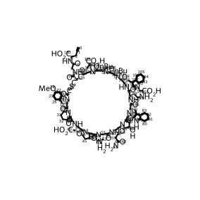 C#CC[C@H](NC(=O)CNC(=O)[C@@H]1CSCC(=O)N[C@@H](Cc2ccc(OC)cc2)C(=O)N2CCCC[C@H]2C(=O)N[C@@H](CC(=O)O)C(=O)N2CCC[C@H]2C(=O)N[C@@H](CN)C(=O)N[C@@H](CCC(N)=O)C(=O)N2C[C@H](O)C[C@H]2C(=O)N[C@@H](Cc2c[nH]c3ccccc23)C(=O)N[C@@H](CCN)C(=O)N[C@@H](Cc2cn(CC(=O)O)c3ccccc23)C(=O)N(C)[C@@H](CCCC)C(=O)N(C)[C@@H](CCCC)C(=O)N[C@@H](CCC(=O)O)C(=O)C1)C(=O)O